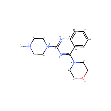 CN1CCN(c2nc(N3CCOCC3)c3ccccc3n2)CC1